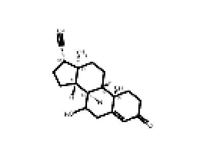 C#C[C@H]1CC[C@H]2[C@@H]3C(O)CC4=CC(=O)CC[C@]4(C)[C@H]3CC[C@]12C